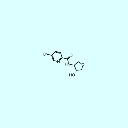 O=C(N[C@H]1COC[C@@H]1O)c1ccc(Br)cn1